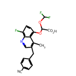 Cc1c(Cc2ccc(C#N)cc2)cnc2c(F)ccc(OC(OC(F)F)C(=O)O)c12